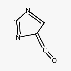 O=C=C1C=N[C]=N1